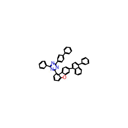 c1ccc(-c2ccc(-c3nc(-c4ccccc4)nc(-c4cccc5oc6cc(-c7ccc(-c8ccccc8)c8ccccc78)ccc6c45)n3)cc2)cc1